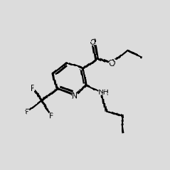 CCCNc1nc(C(F)(F)F)ccc1C(=O)OCC